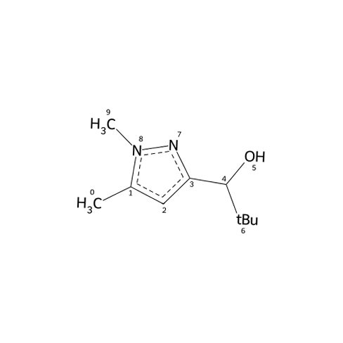 Cc1cc(C(O)C(C)(C)C)nn1C